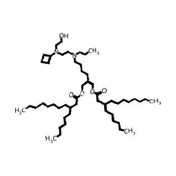 CCCCCCCCC(CCCCCC)CC(=O)OCC(CCCCN(CCC)CCN(CCO)C1CCC1)COC(=O)CC(CCCCCC)CCCCCCCC